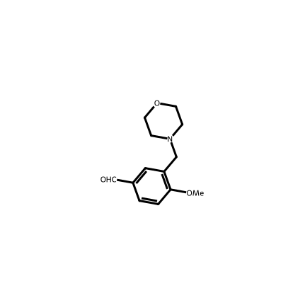 COc1ccc(C=O)cc1CN1CCOCC1